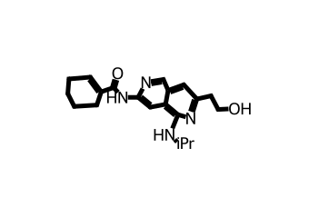 CC(C)Nc1nc(CCO)cc2cnc(NC(=O)C3=CCCCC3)cc12